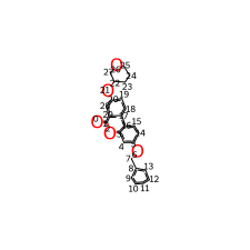 O=c1oc2cc(OCc3ccccc3)ccc2c2ccc(OC3CCCOC3)cc12